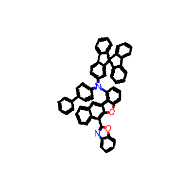 c1ccc(-c2ccc(N(c3ccc4c(c3)C3(c5ccccc5-c5ccccc53)c3ccccc3-4)c3cccc4oc5c(-c6nc7ccccc7o6)c6ccccc6cc5c34)cc2)cc1